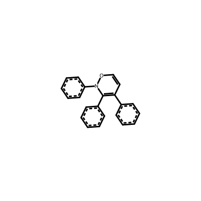 C1=CC(c2ccccc2)=C(c2ccccc2)N(c2ccccc2)O1